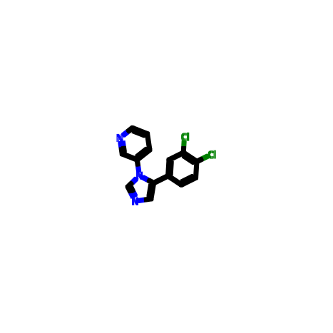 Clc1ccc(-c2cncn2-c2cccnc2)cc1Cl